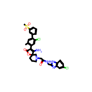 Cc1cc(-c2cccc(S(C)(=O)=O)c2)c(Cl)cc1C1=C(N)C2(CCCN(CC(=O)NCc3nc4cc(Cl)ccc4[nH]3)C2)OC1=O